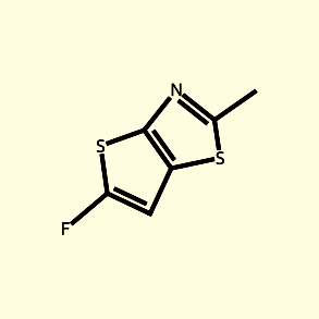 Cc1nc2sc(F)cc2s1